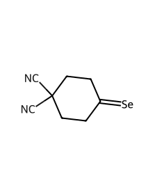 N#CC1(C#N)CCC(=[Se])CC1